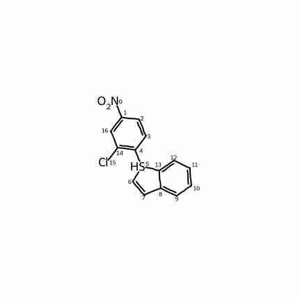 O=[N+]([O-])c1ccc([SH]2C=Cc3ccccc32)c(Cl)c1